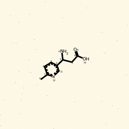 Cc1ccc(C(N)CC(=O)O)cn1